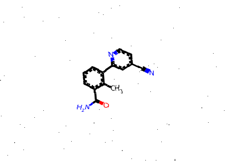 Cc1c(C(N)=O)cccc1-c1cc(C#N)ccn1